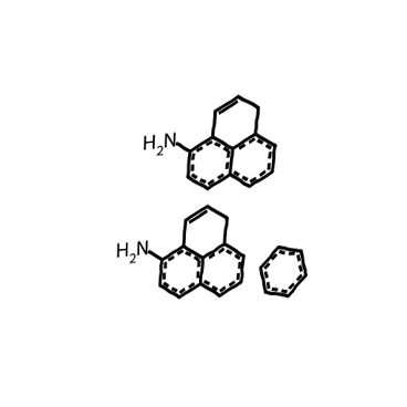 Nc1ccc2cccc3c2c1C=CC3.Nc1ccc2cccc3c2c1C=CC3.c1ccccc1